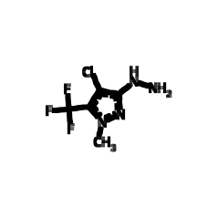 Cn1nc(NN)c(Cl)c1C(F)(F)F